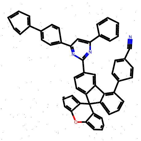 N#Cc1ccc(-c2cccc3c2-c2cc(-c4nc(-c5ccccc5)cc(-c5ccc(-c6ccccc6)cc5)n4)ccc2C32c3ccccc3Oc3ccccc32)cc1